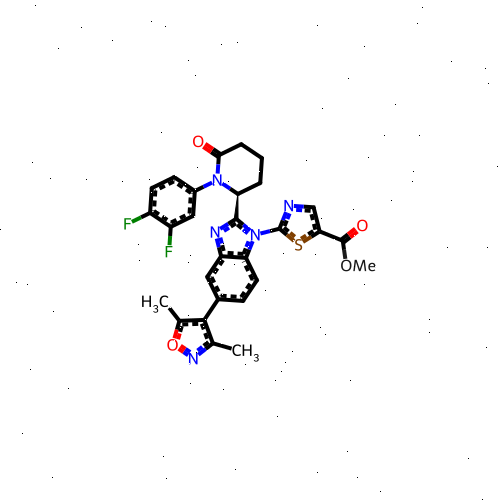 COC(=O)c1cnc(-n2c([C@@H]3CCCC(=O)N3c3ccc(F)c(F)c3)nc3cc(-c4c(C)noc4C)ccc32)s1